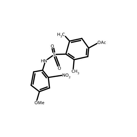 COc1ccc(NS(=O)(=O)c2c(C)cc(OC(C)=O)cc2C)c([N+](=O)[O-])c1